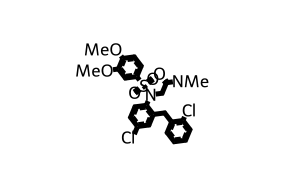 CNC(=O)CN(c1ccc(Cl)cc1Cc1ccccc1Cl)S(=O)(=O)c1ccc(OC)c(OC)c1